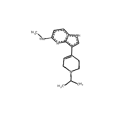 CNc1ccc2[nH]cc(C3=CCN(C(C)C)CC3)c2n1